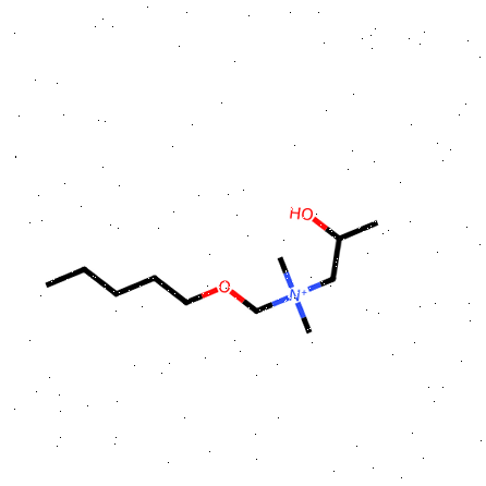 CCCCCOC[N+](C)(C)CC(C)O